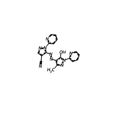 Cc1nn(-c2ccccn2)c(O)c1N=Nc1c(C#N)cnn1-c1ccccn1